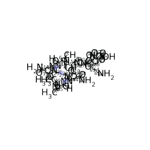 CCn1nc(C)cc1C(=O)/N=c1\[nH]c2cc(C(N)=O)cc(OC)c2n1C/C=C/Cn1/c(=N/C(=O)c2cc(C)nn2CC)[nH]c2cc(C(N)=O)cc(OCCCN3CCN(C(=O)OC(CCCN)c4ccc(OS(=O)(=O)O)c([N+](=O)[O-])c4)CC3)c21